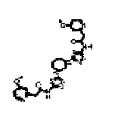 COc1ccnc(CC(=O)Nc2nnc([C@@H]3CCC[C@@H](c4nnc(NC(=O)Cc5cc(OC)ccn5)s4)C3)s2)c1